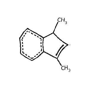 CC1=[C]C(C)c2ccccc21